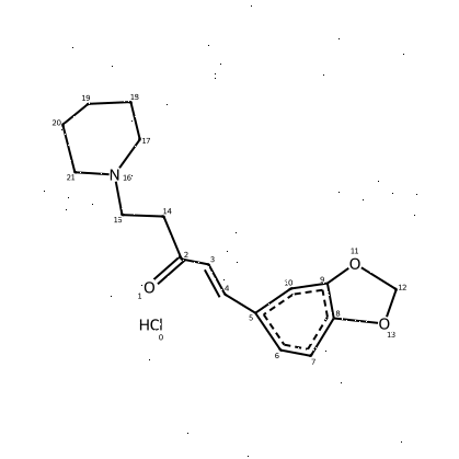 Cl.O=C(C=Cc1ccc2c(c1)OCO2)CCN1CCCCC1